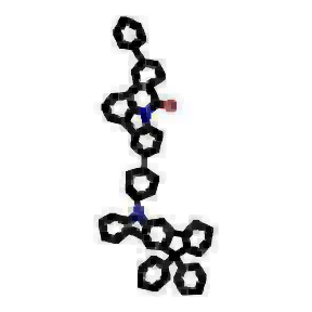 O=c1c2ccc(-c3ccccc3)cc2c2cccc3c4cc(-c5ccc(-n6c7ccccc7c7cc8c(cc76)-c6ccccc6C8(c6ccccc6)c6ccccc6)cc5)ccc4n1c23